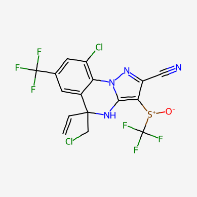 C=CC1(CCl)Nc2c([S+]([O-])C(F)(F)F)c(C#N)nn2-c2c(Cl)cc(C(F)(F)F)cc21